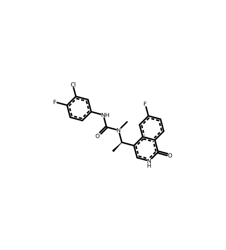 C[C@H](c1c[nH]c(=O)c2ccc(F)cc12)N(C)C(=O)Nc1ccc(F)c(Cl)c1